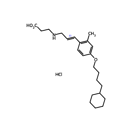 Cc1cc(OCCCCC2CCCCC2)ccc1/C=C/CNCCC(=O)O.Cl